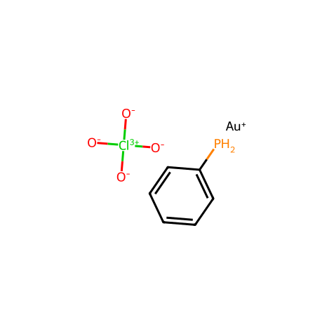 Pc1ccccc1.[Au+].[O-][Cl+3]([O-])([O-])[O-]